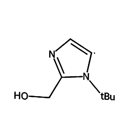 CC(C)(C)n1[c]cnc1CO